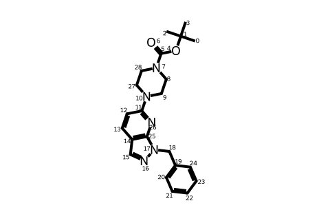 CC(C)(C)OC(=O)N1CCN(c2ccc3cnn(Cc4ccccc4)c3n2)CC1